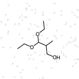 CCOC(OCC)C(C)CO